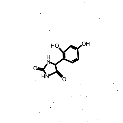 O=C1NC(=O)C(c2ccc(O)cc2O)N1